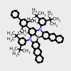 Cc1cc(-c2ccccc2)cc(C)c1-c1cc2c3c(c1)N(c1cc(C(C)(C)C)cc(C(C)(C)C)c1)c1cc4cc5ccccc5cc4cc1B3c1cc3cc4ccccc4cc3cc1N2c1cc(C(C)(C)C)cc(C(C)(C)C)c1